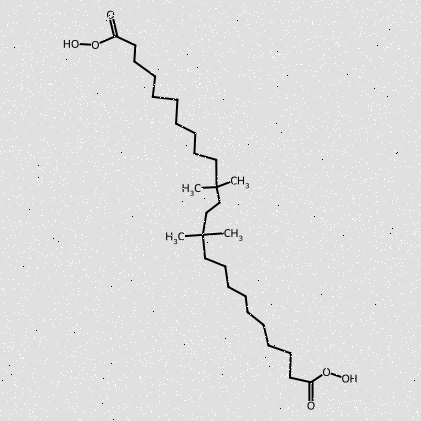 CC(C)(CCCCCCCCCC(=O)OO)CCC(C)(C)CCCCCCCCCC(=O)OO